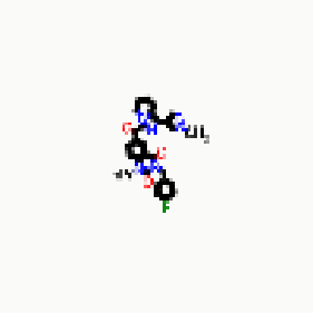 CCCn1c(=O)n(Cc2ccc(F)cc2)c(=O)c2cc(C(=O)c3nc(-c4cnn(C)c4)c4ccccn34)ccc21